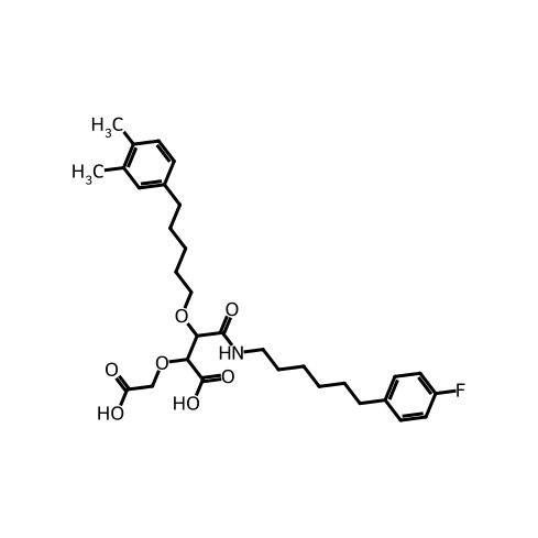 Cc1ccc(CCCCCOC(C(=O)NCCCCCCc2ccc(F)cc2)C(OCC(=O)O)C(=O)O)cc1C